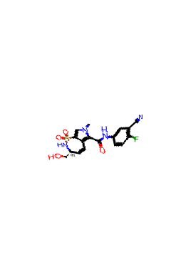 Cn1cc2c(c1C(=O)Nc1ccc(F)c(C#N)c1)C=C[C@H](CO)NS2(=O)=O